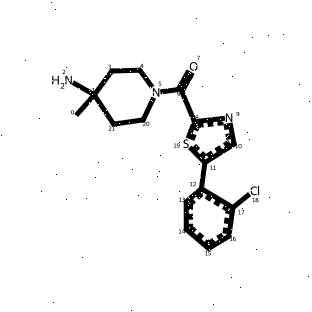 CC1(N)CCN(C(=O)c2ncc(-c3ccccc3Cl)s2)CC1